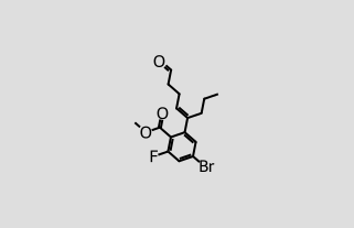 CCCC(=CCCC=O)c1cc(Br)cc(F)c1C(=O)OC